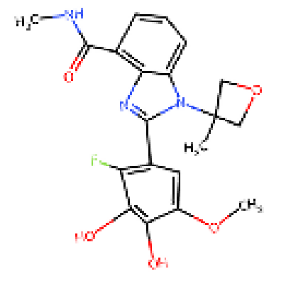 CNC(=O)c1cccc2c1nc(-c1cc(OC)c(O)c(O)c1F)n2C1(C)COC1